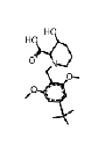 COc1cc(C(C)(C)C)cc(OC)c1CN1CCCC(O)C1C(=O)O